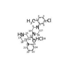 Cc1ccc(Cl)cc1N1CCN(C(=O)[C@@H]2CNCC[C@@H]2c2ccccc2)CC1.Cl